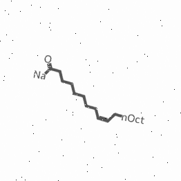 CCCCCCCCC/C=C\CCCCCCC[C](=O)[Na]